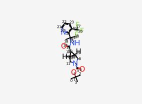 CC(C)(C)OC(=O)N1C[C@@H]2[C@H](C1)[C@H]2C(=O)NC(C)(C)c1ncccc1C(F)(F)F